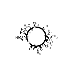 CC[C@H]1OC(=O)[C@@](C)(F)C(=O)[C@H](C)C(C)(C)[C@](C)(OC)C[C@@H](C)CN(C)[C@H](C)[C@@H](O)[C@]1(C)O